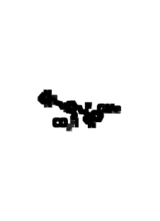 COc1ccc2nccc([C@@H](F)CCC3CCN(CCCSc4ncccn4)CC3CCC(=O)O)c2c1